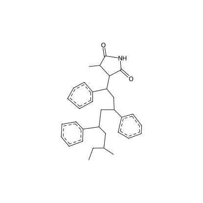 CCC(C)CC(CC(CC(c1ccccc1)C1C(=O)NC(=O)C1C)c1ccccc1)c1ccccc1